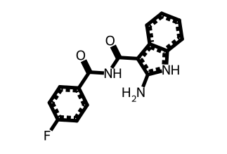 Nc1[nH]c2ccccc2c1C(=O)NC(=O)c1ccc(F)cc1